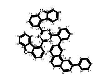 c1ccc(-c2ccc3ccc4ccc(-c5ccccc5-c5nc(-c6cccc7oc8ccccc8c67)nc(-c6cccc7oc8ccccc8c67)n5)cc4c3c2)cc1